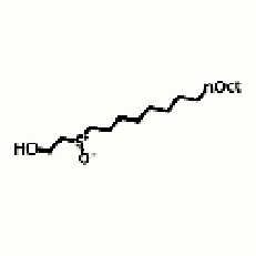 CCCCCCCCCCCCCCCC[S+]([O-])CCO